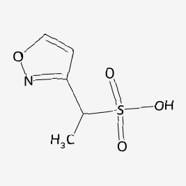 CC(c1ccon1)S(=O)(=O)O